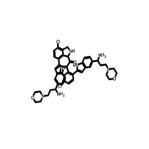 NC(CCN1CCOCC1)c1ccc2[nH]c(-c3ccc(Cl)c4c3C(C(=O)C3NCc5c(Cl)ccc(-c6cc7cc(C(N)CCN8CCOCC8)ccc7[nH]6)c53)NC4)cc2c1